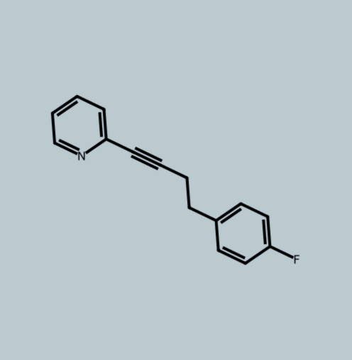 Fc1ccc(CCC#Cc2ccccn2)cc1